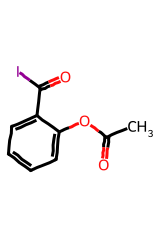 CC(=O)Oc1ccccc1C(=O)I